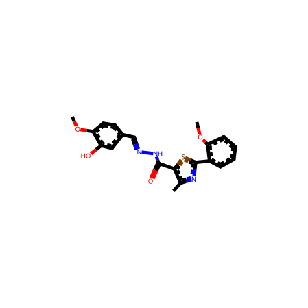 COc1ccc(/C=N/NC(=O)c2sc(-c3ccccc3OC)nc2C)cc1O